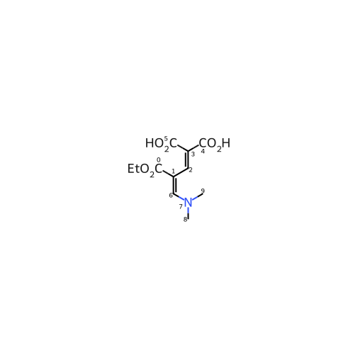 CCOC(=O)/C(C=C(C(=O)O)C(=O)O)=C/N(C)C